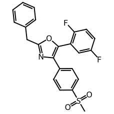 CS(=O)(=O)c1ccc(-c2nc(Cc3ccccc3)oc2-c2cc(F)ccc2F)cc1